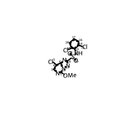 COc1ncc(Cl)c2nc(S(=O)(=O)Nc3c(Cl)cccc3Cl)nn12